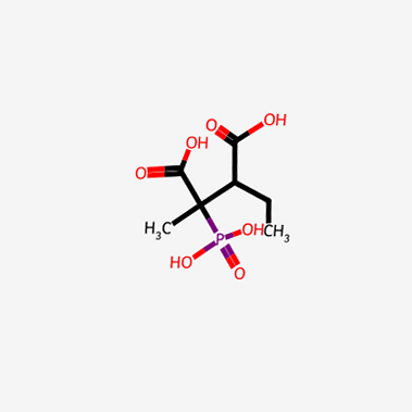 CCC(C(=O)O)C(C)(C(=O)O)P(=O)(O)O